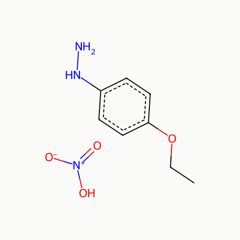 CCOc1ccc(NN)cc1.O=[N+]([O-])O